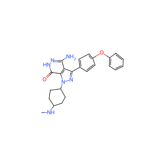 CNC1CCC(n2nc(-c3ccc(Oc4ccccc4)cc3)c3c(N)n[nH]c(=O)c32)CC1